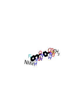 CNc1cc(F)cc2cc(C(=O)Nc3ccc(C(=O)NS(C)(=O)=O)cc3)c(=O)[nH]c12